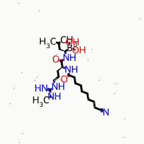 CNC(=N)NCCC[C@H](NC(=O)CCCCCCCCC#N)C(=O)N[C@@H](CC(C)C)B(O)O